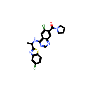 CC(Nc1ncnc2cc(C(=O)N3CCCC3)c(Cl)cc12)c1nc2cc(Cl)ccc2s1